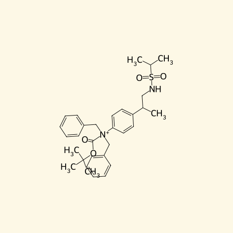 CC(CNS(=O)(=O)C(C)C)c1ccc([N+](Cc2ccccc2)(Cc2ccccc2)C(=O)OC(C)(C)C)cc1